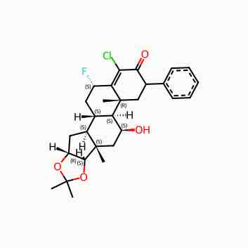 CC1(C)O[C@@H]2[C@@H](C[C@H]3[C@@H]4C[C@H](F)C5=C(Cl)C(=O)C(c6ccccc6)C[C@]5(C)[C@H]4[C@@H](O)C[C@]23C)O1